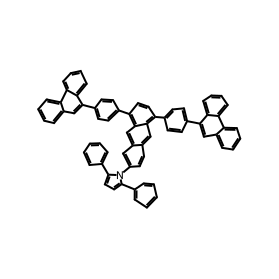 c1ccc(-c2ccc(-c3ccccc3)n2-c2ccc3cc4c(-c5ccc(-c6cc7ccccc7c7ccccc67)cc5)ccc(-c5ccc(-c6cc7ccccc7c7ccccc67)cc5)c4cc3c2)cc1